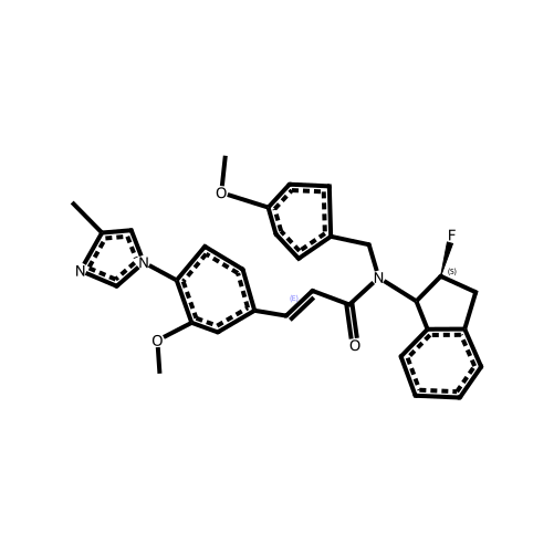 COc1ccc(CN(C(=O)/C=C/c2ccc(-n3cnc(C)c3)c(OC)c2)C2c3ccccc3C[C@@H]2F)cc1